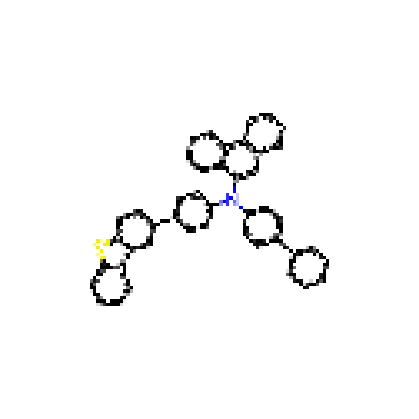 c1ccc(-c2ccc(N(c3ccc(-c4ccc5sc6ccccc6c5c4)cc3)c3cc4ccccc4c4ccccc34)cc2)cc1